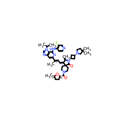 C=C1/C(=C\C=C(/C)c2cc3ncn(C(C)C)c3c(Nc3ccncc3F)n2)C2(CCN(C(=O)[C@@H]3CC[C@H](C)O3)CC2)C(=O)N1[C@H]1C[C@@H](N2CCC(C)(C)C2)C1